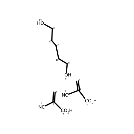 C=C(C#N)C(=O)O.C=C(C#N)C(=O)O.OCCCCCO